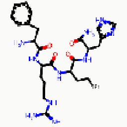 CC(C)CCC(NC(=O)C(CCCNC(=N)N)NC(=O)C(N)Cc1ccccc1)C(=O)NC(Cc1c[nH]cn1)C(N)=O